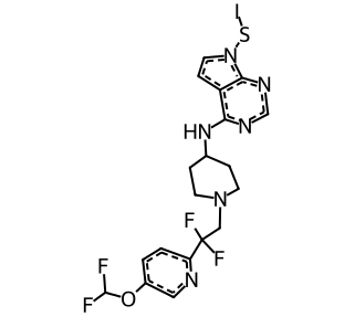 FC(F)Oc1ccc(C(F)(F)CN2CCC(Nc3ncnc4c3ccn4SI)CC2)nc1